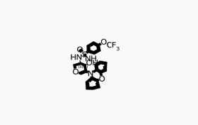 N=S(=O)(N[C@H]1COC=C(N2c3ccccc3Oc3ccccc32)[C@@H]1O)c1ccc(OC(F)(F)F)cc1